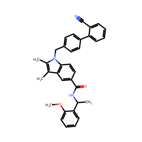 COc1ccccc1C(C)NC(=O)c1ccc2c(c1)c(C)c(C)n2Cc1ccc(-c2ccccc2C#N)cc1